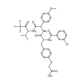 COc1ccc(C(NC(=O)C(Cc2ccc(OCC(=O)O)cc2)NC(=O)c2cccc(Cl)c2)C(=O)NC(C(=O)C(F)(F)F)C(C)C)cc1